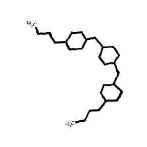 CCCCC1CCC(CC2CCC(CC3CCC(CCCC)CC3)CC2)CC1